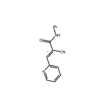 CC(C)NC(=O)/C(C#N)=C/c1ccccn1